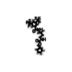 C[C@@H](CCNC(=O)OCc1ccccc1)CNC(=O)c1cc(C(F)(F)F)cc(C(F)(F)F)c1